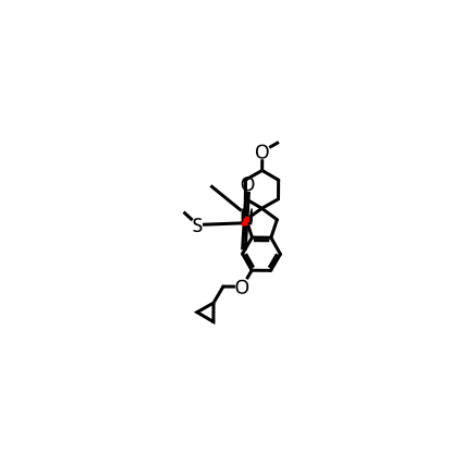 COC1CCC2(CC1)Cc1ccc(OCC3CC3)cc1C21N=C(SC)N(C)C1=O